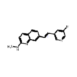 CNc1ccc2ccc(/C=C/c3cncc(Br)c3)cc2n1